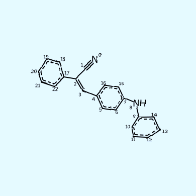 N#CC(=Cc1ccc(Nc2ccccc2)cc1)c1ccccc1